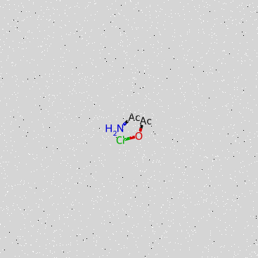 CC(=O)OCl.CC(N)=O